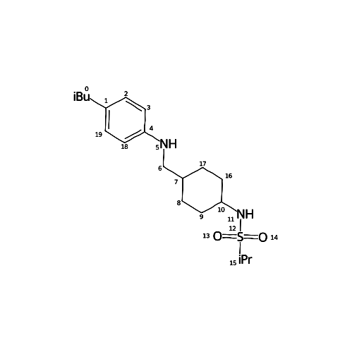 CCC(C)c1ccc(NCC2CCC(NS(=O)(=O)C(C)C)CC2)cc1